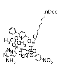 CCCCCCCCCCCCCCCCCCOC[C@H](COP(=O)(OC[C@H](C[C@@H](OC(C)(C)O)c1ccc2c(N)ncnn12)OC#N)Oc1ccc([N+](=O)[O-])cc1)OCc1ccc(-c2ccccc2)cc1